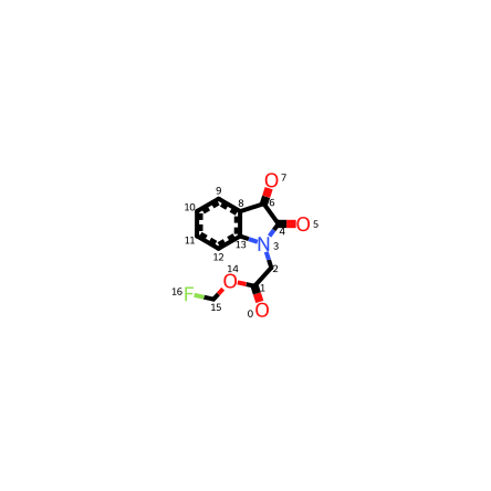 O=C(CN1C(=O)C(=O)c2ccccc21)OCF